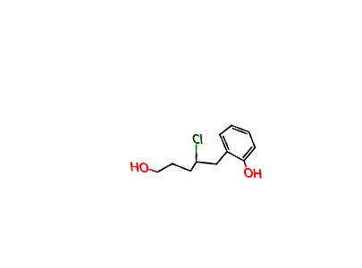 OCCCC(Cl)Cc1ccccc1O